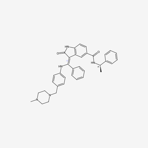 C[C@@H](NC(=O)c1ccc2c(c1)/C(=C(/Nc1ccc(CN3CCN(C)CC3)cc1)c1ccccc1)C(=O)N2)c1ccccc1